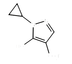 CCOC(=O)c1cnn(C2CC2)c1O